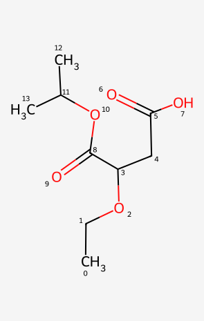 CCOC(CC(=O)O)C(=O)OC(C)C